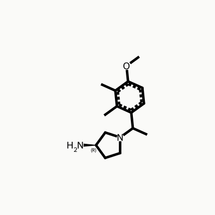 COc1ccc(C(C)N2CC[C@@H](N)C2)c(C)c1C